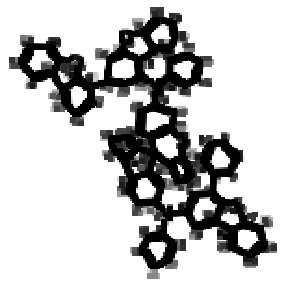 c1ccc(-c2cc(N(c3ccccc3)c3ccc4c(c3)C3(c5ccccc5Sc5cc(N(c6ccccc6)c6cc(-c7cccc8c7oc7ccccc78)cc7oc8ccccc8c67)ccc53)c3ccccc3-4)cc3c2sc2ccccc23)cc1